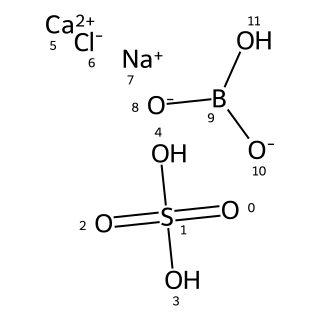 O=S(=O)(O)O.[Ca+2].[Cl-].[Na+].[O-]B([O-])O